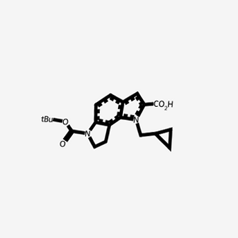 CC(C)(C)OC(=O)N1CCc2c1ccc1cc(C(=O)O)n(CC3CC3)c21